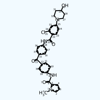 Cn1cccc1C(=O)Nc1ccc(C(=O)c2ccc(NC(=O)c3ccc(N4CCC(O)CC4)cc3Cl)cc2)cc1